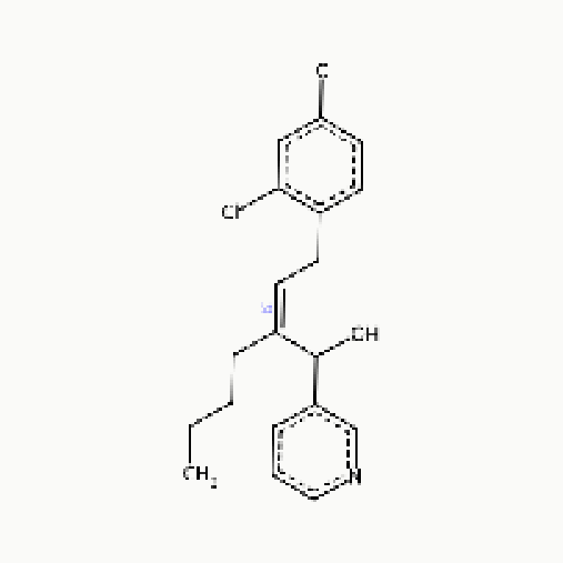 CCCC/C(=C/Cc1ccc(Cl)cc1Cl)C(O)c1cccnc1